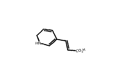 O=C(O)/C=C/C1=CNCC=C1